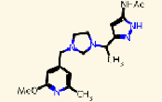 COc1cc(CN2CCN(C(C)c3cc(NC(C)=O)[nH]n3)C2)cc(C)n1